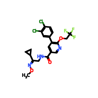 CO/N=C(\CNC(=O)c1cnc(OCC(F)(F)F)c(-c2ccc(Cl)c(Cl)c2)c1)C1CC1